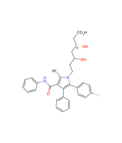 CC(C)c1c(C(=O)Nc2ccccc2)c(-c2ccccc2)c(-c2ccc(F)cc2)n1CCC(O)C[C@@H](O)CC(=O)O